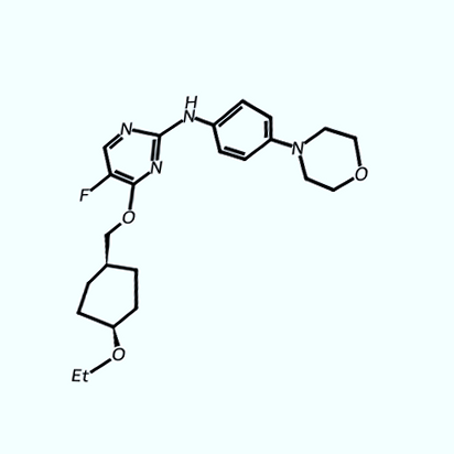 CCO[C@H]1CC[C@@H](COc2nc(Nc3ccc(N4CCOCC4)cc3)ncc2F)CC1